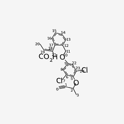 C#CC(C)Oc1c(Cl)cc(OCc2ccccc2/C(=C\C)C(=O)O)cc1Cl